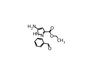 CCOC(=O)c1cc(N)[nH]n1.O=Cc1ccccc1